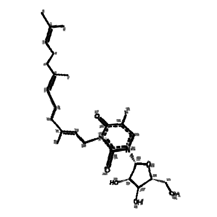 CC(C)=CCC/C(C)=C/CC/C(C)=C/Cn1c(=O)c(F)cn([C@@H]2O[C@H](CO)C(O)[C@@H]2O)c1=O